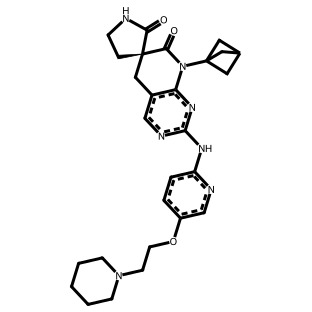 O=C1NCC[C@@]12Cc1cnc(Nc3ccc(OCCN4CCCCC4)cn3)nc1N(C13CC(C1)C3)C2=O